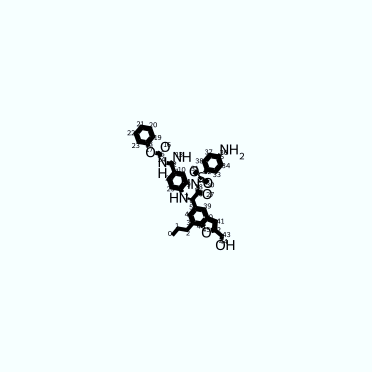 CCCc1cc([C@@H](Nc2ccc(C(=N)NC(=O)Oc3ccccc3)cc2)C(=O)NS(=O)(=O)c2ccc(N)cc2)cc2cc(CO)oc12